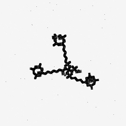 CCCC[Si](C)(C)O[Si](O[SiH2]CCCCCC[SiH]1O[SiH](C)CC(C)O[SiH](C)O1)(O[Si](C)(C)CCCCCC[SiH]1CC(C)O[SiH](C)O[SiH](C)O1)O[Si](C)(C)CCCCC[SiH]1OC(C)C[SiH](C)O[SiH](C)O1